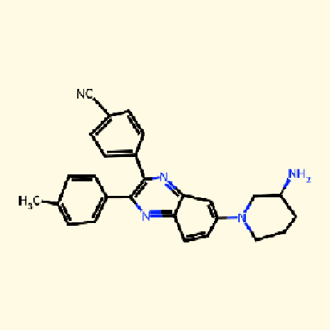 Cc1ccc(-c2nc3ccc(N4CCC[C@H](N)C4)cc3nc2-c2ccc(C#N)cc2)cc1